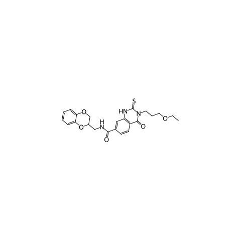 CCOCCCn1c(=S)[nH]c2cc(C(=O)NCC3COc4ccccc4O3)ccc2c1=O